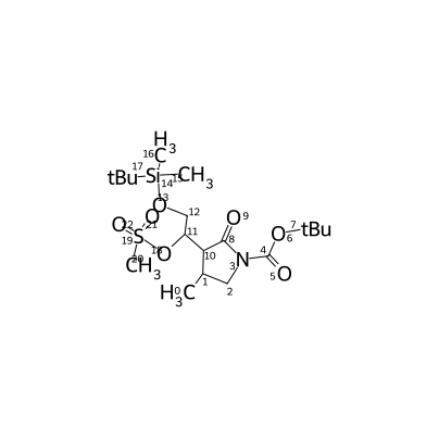 CC1CN(C(=O)OC(C)(C)C)C(=O)C1C(CO[Si](C)(C)C(C)(C)C)OS(C)(=O)=O